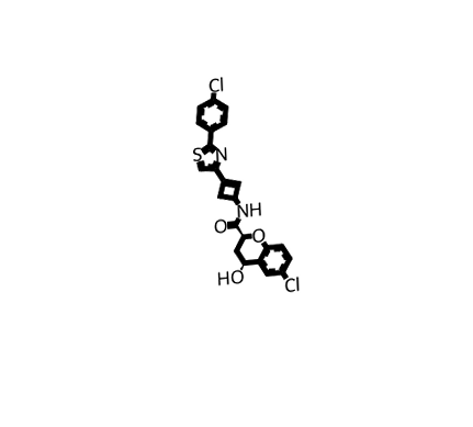 O=C(NC1C=C(c2csc(-c3ccc(Cl)cc3)n2)C1)[C@@H]1C[C@@H](O)c2cc(Cl)ccc2O1